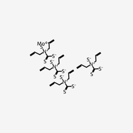 C=CC[N+]([S-])(CC=C)C(=S)[S-].C=CC[N+]([S-])(CC=C)C(=S)[S-].C=CC[N+]([S-])(CC=C)C(=S)[S-].C=CC[N+]([S-])(CC=C)C(=S)[S-].[Mo+4]